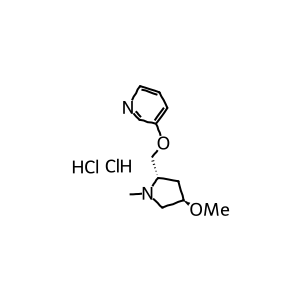 CO[C@@H]1C[C@@H](COc2cccnc2)N(C)C1.Cl.Cl